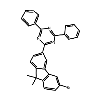 CC1(C)c2ccc(Br)cc2-c2cc(-c3nc(-c4ccccc4)nc(-c4ccccc4)n3)ccc21